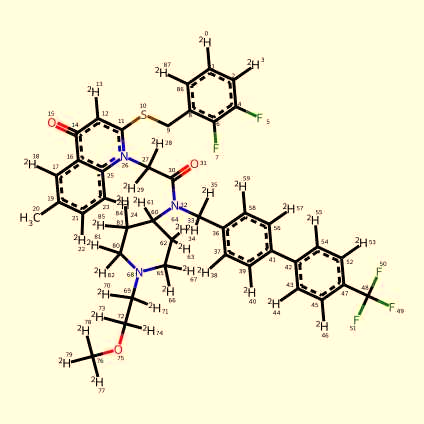 [2H]c1c([2H])c(F)c(F)c(CSc2c([2H])c(=O)c3c([2H])c(C)c([2H])c([2H])c3n2C([2H])([2H])C(=O)N(C([2H])([2H])c2c([2H])c([2H])c(-c3c([2H])c([2H])c(C(F)(F)F)c([2H])c3[2H])c([2H])c2[2H])C2([2H])C([2H])([2H])C([2H])([2H])N(C([2H])([2H])C([2H])([2H])OC([2H])([2H])[2H])C([2H])([2H])C2([2H])[2H])c1[2H]